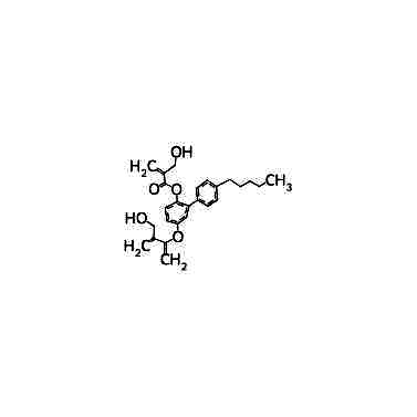 C=C(CO)C(=C)Oc1ccc(OC(=O)C(=C)CO)c(-c2ccc(CCCCC)cc2)c1